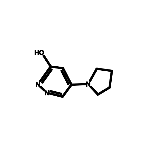 Oc1cc(N2CCCC2)cnn1